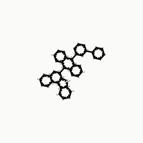 c1ccc(-c2cccc(-c3c4ccccc4c(-c4cc5ccccc5c5c4sc4ccccc45)c4ccccc34)c2)cc1